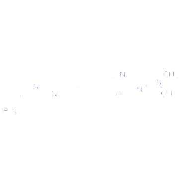 Cc1ccn2cc(CCc3ccc4nc(/N=C/N(C)C)oc4c3)nc2c1